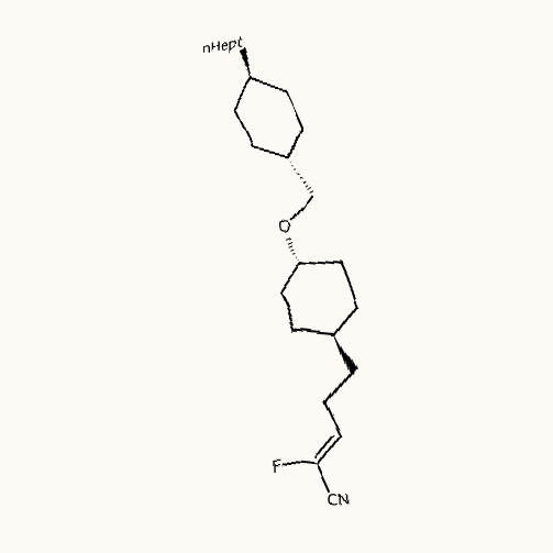 CCCCCCC[C@H]1CC[C@H](CO[C@H]2CC[C@H](CCC=C(F)C#N)CC2)CC1